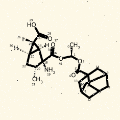 C[C@@H](OC(=O)C12CC3CC(CC(C3)C1)C2)OC(=O)[C@]1(N)[C@H](C)C[C@@H]2[C@H]1[C@@]2(F)C(=O)O